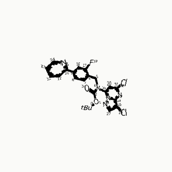 CC(C)(C)OC(=O)N(Cc1ccc(-c2ccccn2)cc1F)c1cc(Cl)nc2c(Cl)cnn12